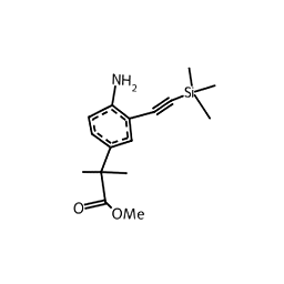 COC(=O)C(C)(C)c1ccc(N)c(C#C[Si](C)(C)C)c1